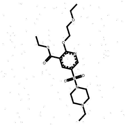 CCOCCOc1ncc(S(=O)(=O)N2CCN(CC)CC2)cc1C(=O)OCC